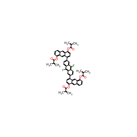 C=C(C)C(=O)Oc1cccc2cc3c(OC(=O)C(=C)C)ccc(-c4ccc5c(F)c6cc(-c7ccc(OC(=O)C(=C)C)c8cc9cccc(OC(=O)C(=C)C)c9cc78)ccc6c(F)c5c4)c3cc12